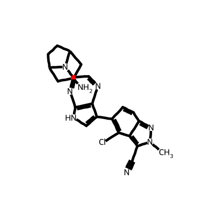 Cn1nc2ccc(-c3c[nH]c4nc(N5C6CCC5CC(N)C6)cnc34)c(Cl)c2c1C#N